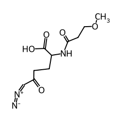 COCCC(=O)NC(CCC(=O)C=[N+]=[N-])C(=O)O